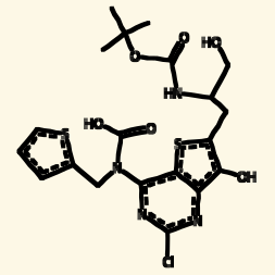 CC(C)(C)OC(=O)NC(CO)Cc1sc2c(N(Cc3cccs3)C(=O)O)nc(Cl)nc2c1O